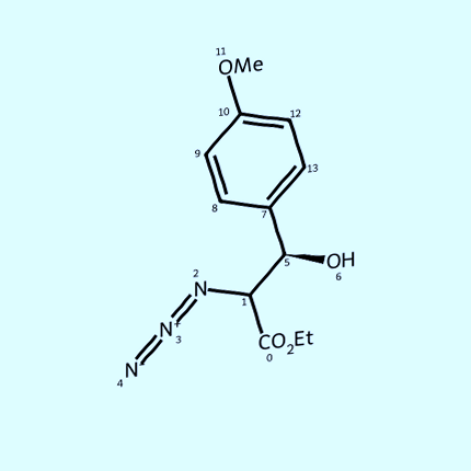 CCOC(=O)C(N=[N+]=[N-])[C@H](O)c1ccc(OC)cc1